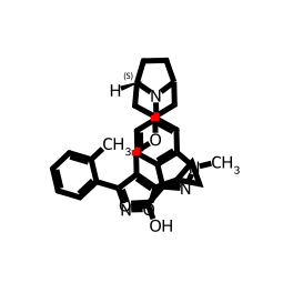 Cc1ccccc1-c1noc(C2CC2)c1COC1CC2CC[C@@H](C1)N2c1ccc2c(C(=O)O)nn(C)c2c1